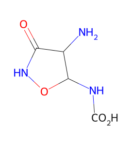 NC1C(=O)NOC1NC(=O)O